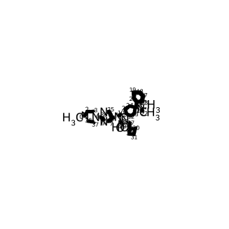 CN1CCN(c2ncc(N3C[C@]4(CC[C@](c5ccccc5)(N(C)C)CC4)N(CC4(O)CCC4)C3=O)cn2)CC1